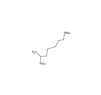 CCCCCCCCCCCCCCC(C)CCCCCCCC